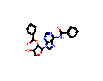 O=C(Nc1ncnc2c1ncn2C1OCC(O)C1OC(=O)c1ccccc1)c1ccccc1